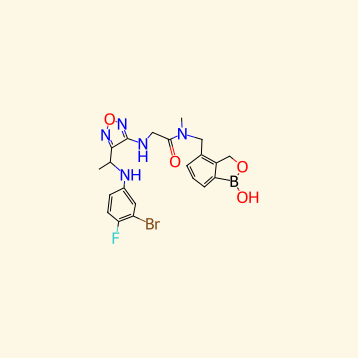 CC(Nc1ccc(F)c(Br)c1)c1nonc1NCC(=O)N(C)Cc1cccc2c1COB2O